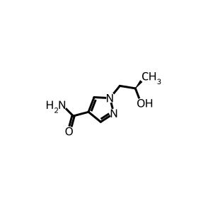 C[C@@H](O)Cn1cc(C(N)=O)cn1